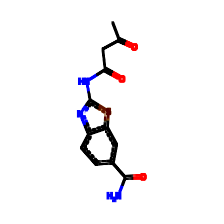 CC(=O)CC(=O)Nc1nc2ccc(C(N)=O)cc2s1